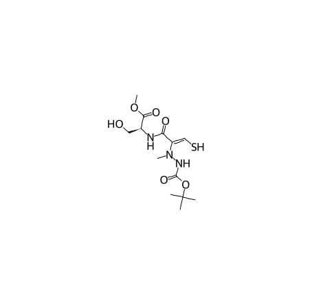 COC(=O)[C@H](CO)NC(=O)/C(=C/S)N(C)NC(=O)OC(C)(C)C